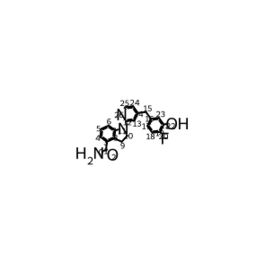 NC(=O)c1cccc2c1CCN2c1cc(Cc2ccc(F)c(O)c2)ccn1